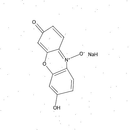 O=c1ccc2[n+]([O-])c3ccc(O)cc3oc-2c1.[NaH]